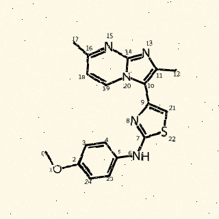 COc1ccc(Nc2nc(-c3c(C)nc4nc(C)ccn34)cs2)cc1